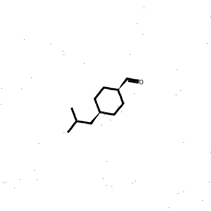 CC(C)C[C@H]1CC[C@@H](C=O)CC1